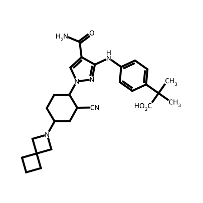 CC(C)(C(=O)O)c1ccc(Nc2nn(C3CCC(N4CC5(CCC5)C4)CC3C#N)cc2C(N)=O)cc1